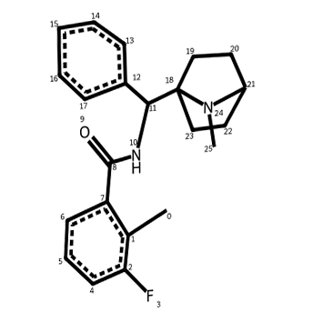 Cc1c(F)cccc1C(=O)NC(c1ccccc1)C12CCC(CC1)N2C